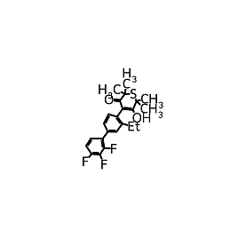 CCc1cc(-c2ccc(F)c(F)c2F)ccc1C1=C(O)C(C)(C)SC(C)(C)C1=O